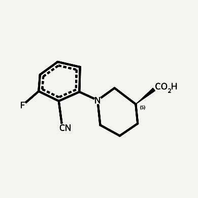 N#Cc1c(F)cccc1N1CCC[C@H](C(=O)O)C1